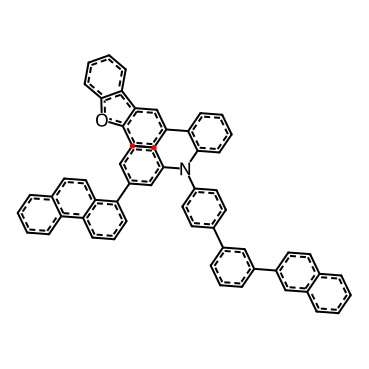 c1cc(-c2ccc(N(c3cccc(-c4cccc5c4ccc4ccccc45)c3)c3ccccc3-c3ccc4oc5ccccc5c4c3)cc2)cc(-c2ccc3ccccc3c2)c1